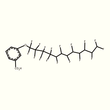 O=C(O)c1cccc(OC(F)(F)C(F)(F)C(F)(F)C(F)(F)C(F)C(F)C(F)C(F)C(F)C(F)C(F)C(F)F)c1